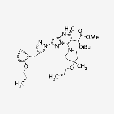 C=CCOc1ccccc1Cc1cnn(-c2cc3nc(C)c([C@H](OCC(C)C)C(=O)OC)c(N4CCC(C)(OCC=C)CC4)n3n2)c1